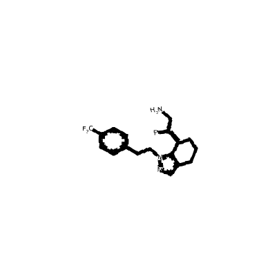 NC/C(F)=C1\CCCc2cnn(CCc3ccc(C(F)(F)F)cc3)c21